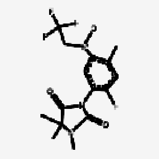 Cc1cc(F)c(N2C(=O)N(C)C(C)(C)C2=O)cc1[S+]([O-])CC(F)(F)F